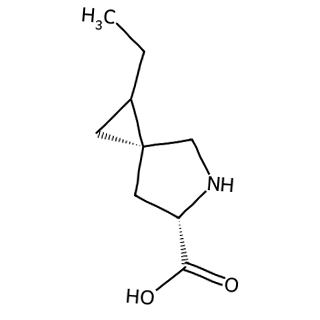 CCC1C[C@@]12CN[C@H](C(=O)O)C2